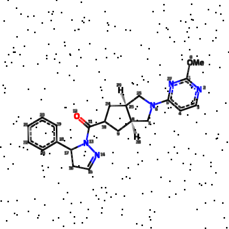 COc1nccc(N2C[C@H]3CC(C(=O)N4N=CCC4c4ccccc4)C[C@H]3C2)n1